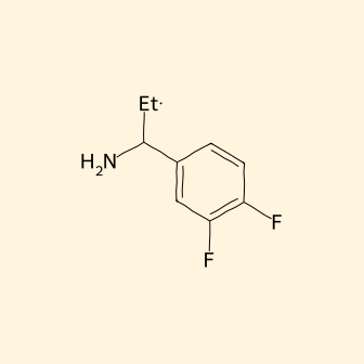 [CH2][CH]C(N)c1ccc(F)c(F)c1